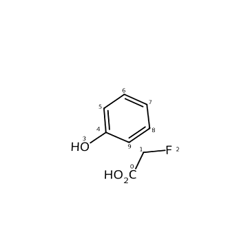 O=C(O)CF.Oc1ccccc1